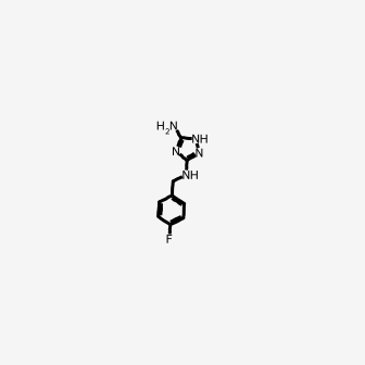 Nc1nc(NCc2ccc(F)cc2)n[nH]1